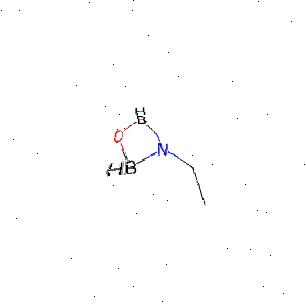 CCN1BOB1